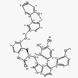 COc1cccc(-c2ncc3snc(O[C@H](Cc4ccccc4OCc4ccnc(-c5ccccc5OC)n4)C(=O)O)c3c2-c2ccc(O)c(Cl)c2C)c1